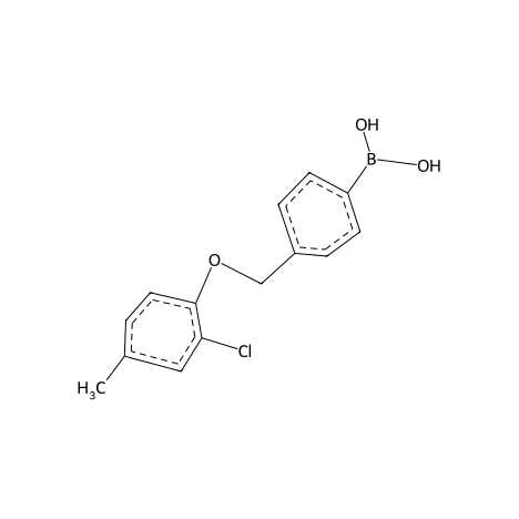 Cc1ccc(OCc2ccc(B(O)O)cc2)c(Cl)c1